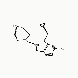 Clc1ccc(CNCC2CCNCC2)c(OCC2CC2)c1